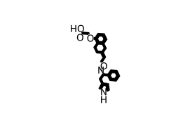 O=C(O)COc1cccc2c1CCC(=CCON=C(Cc1cc[nH]c1)c1ccccc1)C2